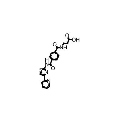 O=C(O)CCNC(=O)c1ccc(C(=O)Nc2nc(-c3ccccn3)cs2)cc1